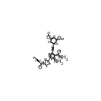 CC#CC(=O)N1CCC(n2nc(C#Cc3cc(OC)cc(OC)c3)c(C(N)=O)c2N)C1